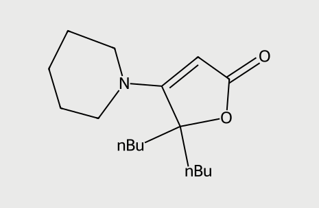 CCCCC1(CCCC)OC(=O)C=C1N1CCCCC1